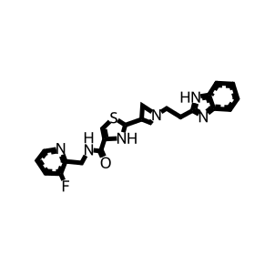 O=C(NCc1ncccc1F)C1=CSC(C2CN(CCc3nc4ccccc4[nH]3)C2)N1